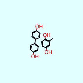 Cc1cc(O)ccc1O.Oc1ccc(-c2ccc(O)cc2)cc1